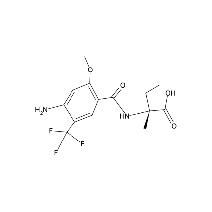 CC[C@@](C)(NC(=O)c1cc(C(F)(F)F)c(N)cc1OC)C(=O)O